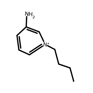 CCCC[n+]1cccc(N)c1